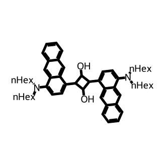 CCCCCCN(CCCCCC)c1ccc(C2C(O)C(c3ccc(N(CCCCCC)CCCCCC)c4cc5ccccc5cc34)C2O)c2cc3ccccc3cc12